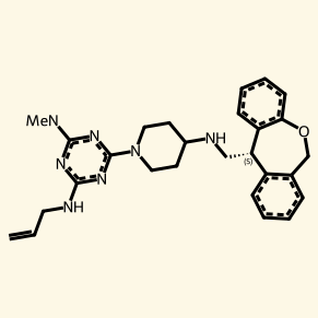 C=CCNc1nc(NC)nc(N2CCC(NC[C@H]3c4ccccc4COc4ccccc43)CC2)n1